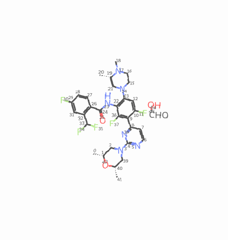 C[C@@H]1CN(c2nccc(-c3c(F)cc(N4CCN(C)[C@@H](C)C4)c(NC(=O)c4ccc(F)cc4C(F)F)c3F)n2)C[C@H](C)O1.O=CO